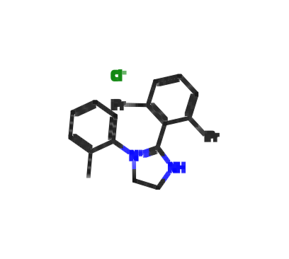 Cc1ccccc1[N+]1=C(c2c(C(C)C)cccc2C(C)C)NCC1.[Cl-]